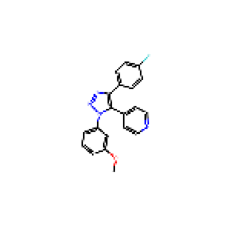 COc1cccc(-n2nnc(-c3ccc(F)cc3)c2-c2ccncc2)c1